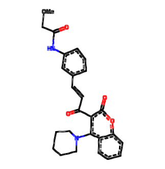 COCC(=O)Nc1cccc(C=CC(=O)c2c(N3CCCCC3)c3ccccc3oc2=O)c1